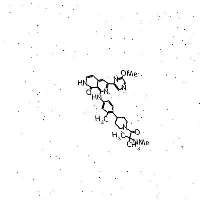 CNC(C)(C)C(=O)N1CCC(c2ccc(Nc3nc(-c4cncc(OC)n4)cc4cc[nH]c(=O)c34)cc2C)CC1